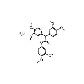 COc1ccc(OC(=O)C(c2ccc(OC)c(OC)c2)c2ccc(OC)c(OC)c2)cc1OC.[BiH3]